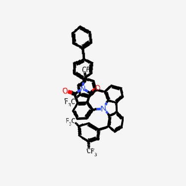 O=C1c2cccc(-n3c4c(-c5cc(C(F)(F)F)cc(C(F)(F)F)c5)cccc4c4cccc(-c5cc(C(F)(F)F)cc(C(F)(F)F)c5)c43)c2C(=O)N1c1ccc(-c2ccccc2)cc1